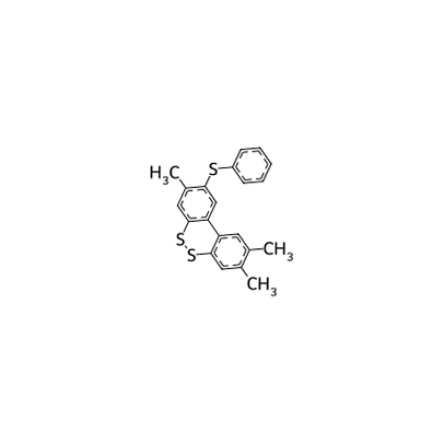 Cc1cc2c(cc1C)-c1cc(Sc3ccccc3)c(C)cc1SS2